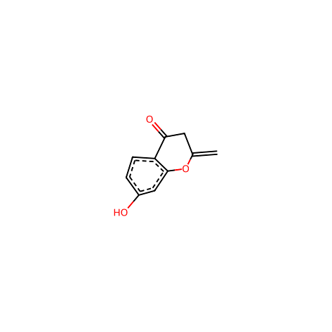 C=C1CC(=O)c2ccc(O)cc2O1